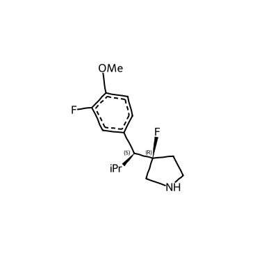 COc1ccc([C@H](C(C)C)[C@]2(F)CCNC2)cc1F